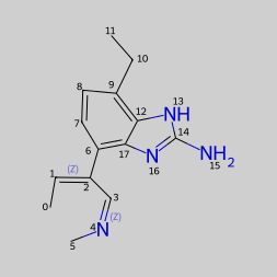 C/C=C(\C=N/C)c1ccc(CC)c2[nH]c(N)nc12